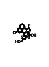 O=C(O)N1CC(F)C(N2CCCc3cc(Cl)cc(-c4ccnc5cc(CO)sc45)c32)C1